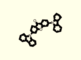 O=c1c2ccc(-n3c4ccccc4c4ccccc43)cc2oc2cc(-n3c4ccccc4c4ccccc43)ccc12